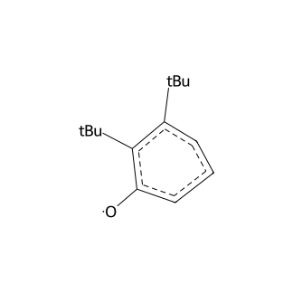 CC(C)(C)c1cccc([O])c1C(C)(C)C